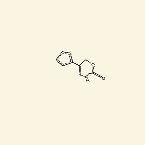 O=C1NN=C(c2cccs2)CO1